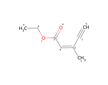 C#CC(C)=CC(=O)OCC